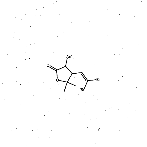 CC(=O)C1C(=O)OC(C)(C)C1C=C(Br)Br